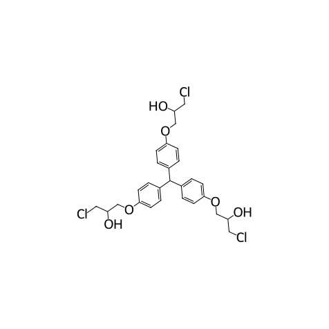 OC(CCl)COc1ccc(C(c2ccc(OCC(O)CCl)cc2)c2ccc(OCC(O)CCl)cc2)cc1